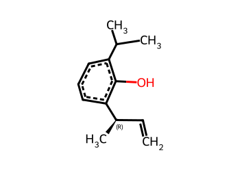 C=C[C@@H](C)c1cccc(C(C)C)c1O